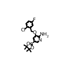 CC1(C)OB(c2cnc(N)c(OCc3cc(F)ccc3Cl)c2)OC1(C)C